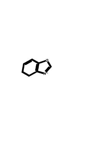 C1=CC2=C(CC1)[N+]=CO2